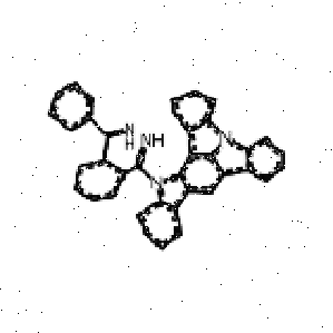 N=C(c1ccccc1)c1ccccc1C(=N)n1c2ccccc2c2cc3c4ccccc4n4c5ccccc5c(c21)c34